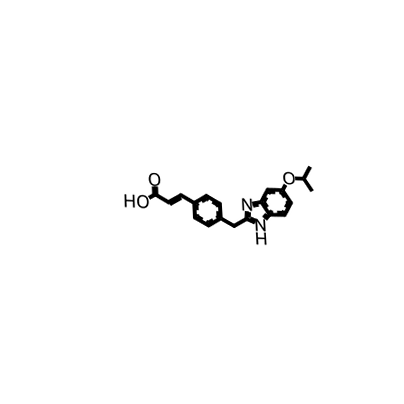 CC(C)Oc1ccc2[nH]c(Cc3ccc(/C=C/C(=O)O)cc3)nc2c1